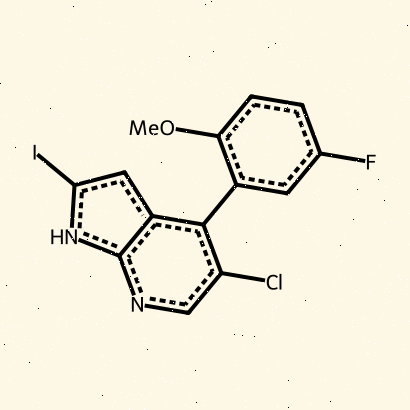 COc1ccc(F)cc1-c1c(Cl)cnc2[nH]c(I)cc12